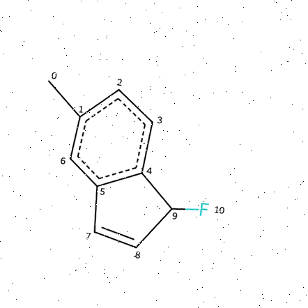 Cc1ccc2c(c1)C=CC2F